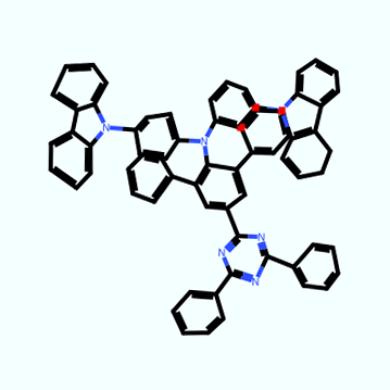 C1=Cc2c(c3ccccc3n2-c2cccc(N(c3ccc(-n4c5ccccc5c5ccccc54)cc3)c3c(-c4ccccc4)cc(-c4nc(-c5ccccc5)nc(-c5ccccc5)n4)cc3-c3ccccc3)c2)CC1